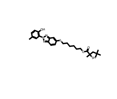 Cc1ccc(O)c(-n2nc3ccc(SCCCCCCOC(=O)C(C)(S)CC(C)(C)C)cc3n2)c1